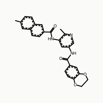 Cc1ccc2cc(C(=O)Nc3cc(NC(=O)c4ccc5c(c4)OCCO5)cnc3C)ccc2c1